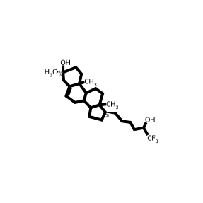 CC12CC[C@](C)(O)CC1=CCC1C2CCC2(C)C1CC[C@@H]2CCCCC(O)C(F)(F)F